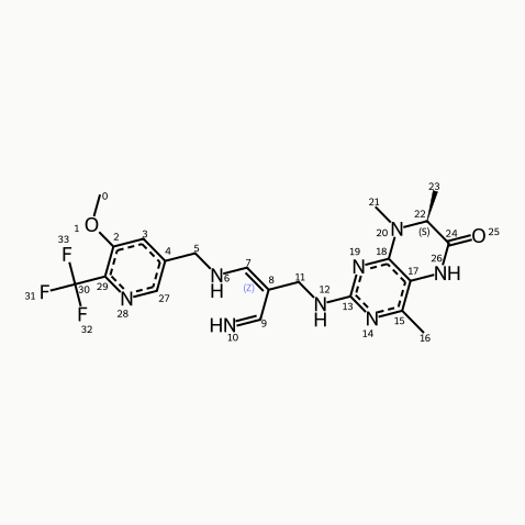 COc1cc(CN/C=C(\C=N)CNc2nc(C)c3c(n2)N(C)[C@@H](C)C(=O)N3)cnc1C(F)(F)F